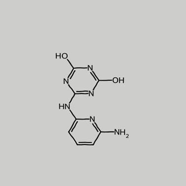 Nc1cccc(Nc2nc(O)nc(O)n2)n1